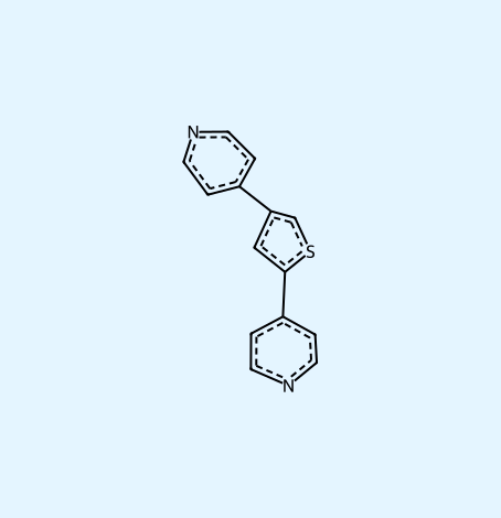 c1cc(-c2csc(-c3ccncc3)c2)ccn1